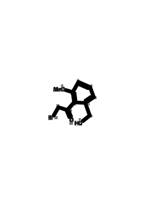 COc1cccc(CO)c1C(=O)CBr